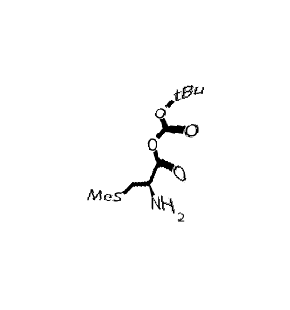 CSC[C@H](N)C(=O)OC(=O)OC(C)(C)C